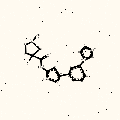 N#CN1CCC(F)(C(=O)Nc2cc(-c3cccc(-n4ccnc4)c3)no2)C1